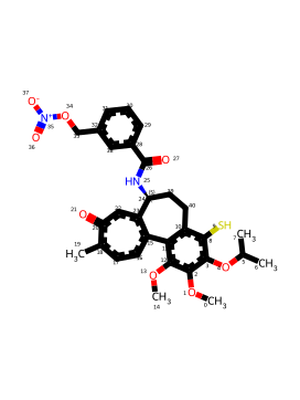 COc1c(OC(C)C)c(S)c2c(c1OC)-c1ccc(C)c(=O)cc1[C@@H](NC(=O)c1cccc(CO[N+](=O)[O-])c1)CC2